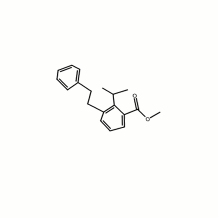 COC(=O)c1cccc(CCc2ccccc2)c1C(C)C